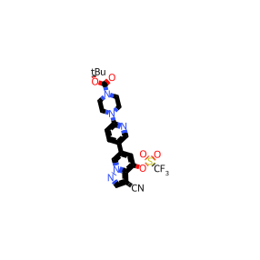 CC(C)(C)OC(=O)N1CCN(c2ccc(-c3cc(OS(=O)(=O)C(F)(F)F)c4c(C#N)cnn4c3)cn2)CC1